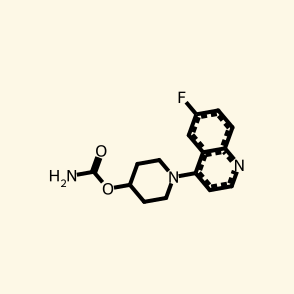 NC(=O)OC1CCN(c2ccnc3ccc(F)cc23)CC1